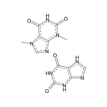 Cn1cnc2c1c(=O)[nH]c(=O)n2C.O=c1[nH]c(=O)c2[nH]cnc2[nH]1